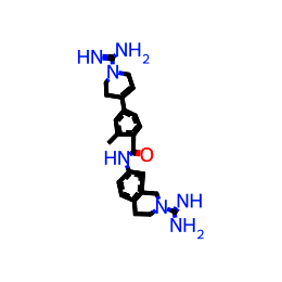 Cc1cc(C2=CCN(C(=N)N)CC2)ccc1C(=O)Nc1ccc2c(c1)CN(C(=N)N)CC2